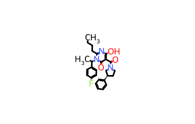 CCCCc1nc(O)c(C(=O)N2CC[C@@H](c3ccccc3)C2)c(=O)n1C(C)c1ccc(F)cc1